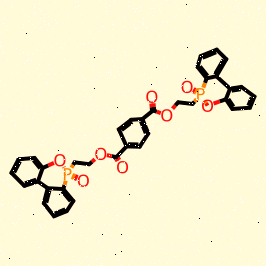 O=C(OCCP1(=O)Oc2ccccc2-c2ccccc21)c1ccc(C(=O)OCCP2(=O)Oc3ccccc3-c3ccccc32)cc1